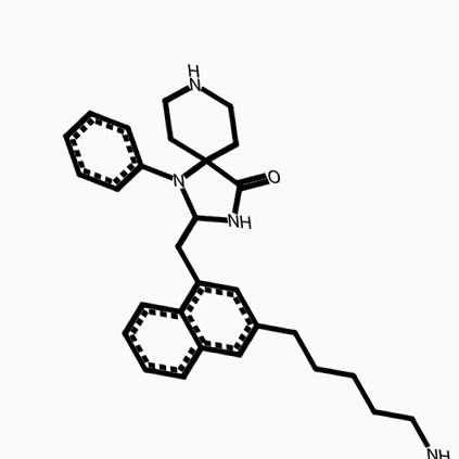 NCCCCCc1cc(CC2NC(=O)C3(CCNCC3)N2c2ccccc2)c2ccccc2c1